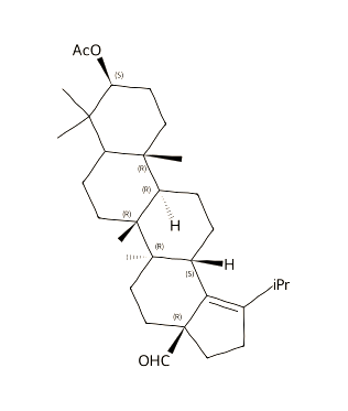 CC(=O)O[C@H]1CC[C@@]2(C)C(CC[C@]3(C)[C@@H]2CC[C@@H]2C4=C(C(C)C)CC[C@]4(C=O)CC[C@]23C)C1(C)C